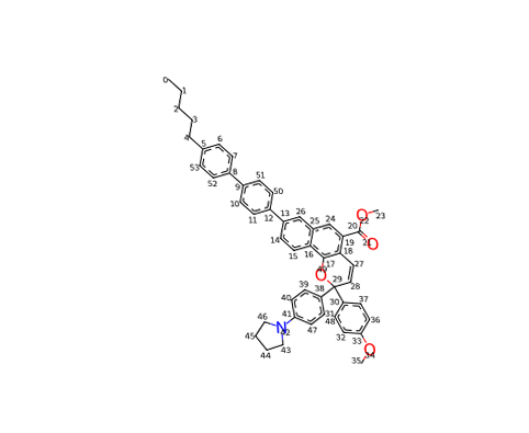 CCCCCc1ccc(-c2ccc(-c3ccc4c5c(c(C(=O)OC)cc4c3)C=CC(c3ccc(OC)cc3)(c3ccc(N4CCCC4)cc3)O5)cc2)cc1